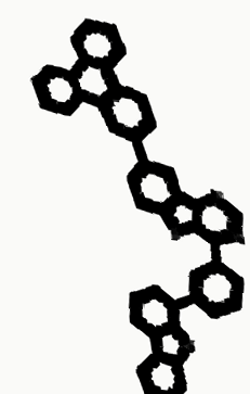 c1cc(-c2cccc3c2sc2ccccc23)cc(-c2ncnc3c2sc2ccc(-c4ccc5c6ccccc6c6ccccc6c5c4)cc23)c1